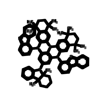 CC1(C)CCC(C)(C)c2cc3c(cc21)B1c2cc4c(cc2N(c2cccc5sc6ccccc6c25)c2cc(N5c6ccccc6C6(C)CCCCC56C)cc(c21)N3c1cccc2c1oc1ccccc12)C(C)(C)CCC4(C)C